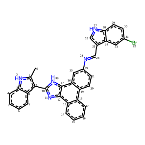 Cc1[nH]c2ccccc2c1-c1nc2c3ccccc3c3ccc(/N=C/c4c[nH]c5ccc(Br)cc45)cc3c2[nH]1